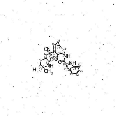 CC1(C)CC[C@@H](C[C@@](C#N)(NC(=O)[C@H](CC2CC2)NC(=O)c2cc3cccc(Cl)c3[nH]2)C(F)(F)F)C(=O)N1